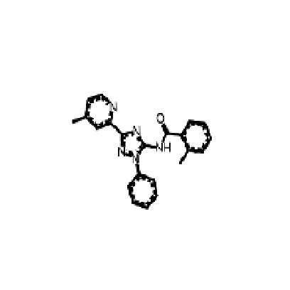 Cc1ccnc(-c2nc(NC(=O)c3ccccc3C)n(-c3ccccc3)n2)c1